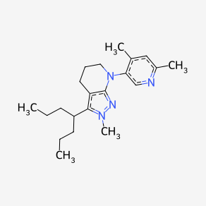 CCCC(CCC)c1c2c(nn1C)N(c1cnc(C)cc1C)CCC2